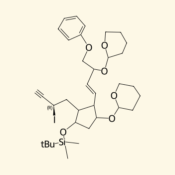 C#C[C@H](I)CC1C(O[Si](C)(C)C(C)(C)C)CC(OC2CCCCO2)C1C=CC(COc1ccccc1)OC1CCCCO1